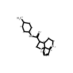 CC1CCC(NC(=O)C2CSC34C=CC=CC3=NCCC24)CC1